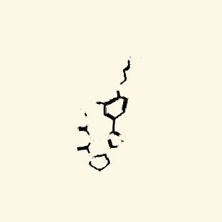 C=C(NC(=O)OC(C)(C)C)N1CCC[C@H]1c1nc(-c2ccc(OCC=CCCCCC)c(C(F)(F)F)c2)no1